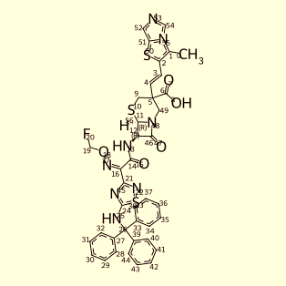 Cc1c(C=CC2(C(=O)O)CS[C@@H]3[C@H](NC(=O)C(=NOCF)c4nsc(NC(c5ccccc5)(c5ccccc5)c5ccccc5)n4)C(=O)N3C2)sc2cncn12